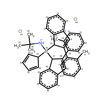 Cc1ccccc1C1=Cc2ccccc2[CH]1[Zr]([NH]C(C)(C)C)([CH]1C=CC=C1)[CH]1C(c2ccccc2C)=Cc2ccccc21.[Cl-].[Cl-]